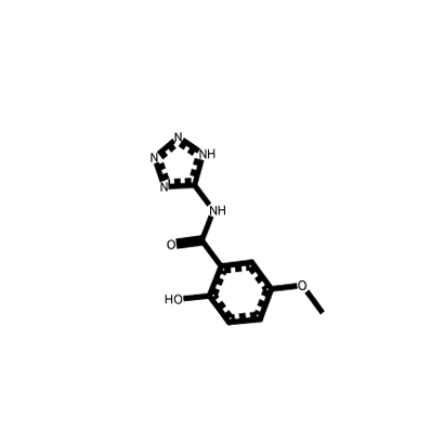 COc1ccc(O)c(C(=O)Nc2nnn[nH]2)c1